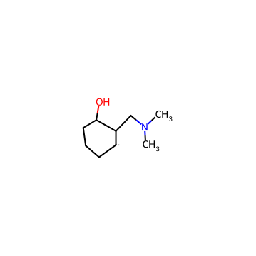 CN(C)CC1[CH]CCCC1O